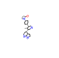 Cc1c(-c2ccc(N3CCCC3=O)cc2)cncc1-c1ccnc2c1ccn2C